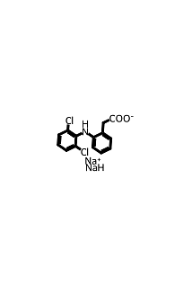 O=C([O-])Cc1ccccc1Nc1c(Cl)cccc1Cl.[Na+].[NaH]